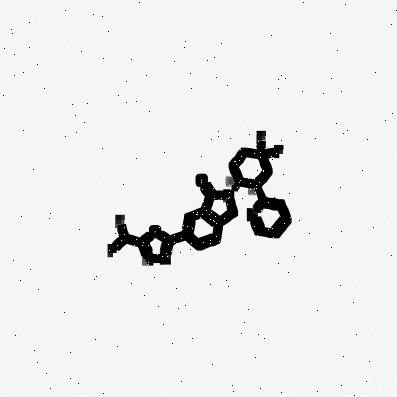 O=C1c2cc(-c3nnc(C(F)F)o3)ccc2CN1[C@@H]1CCC(F)(F)C[C@H]1c1ccccn1